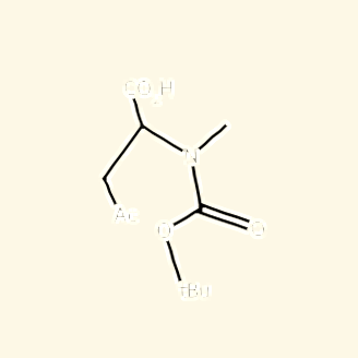 CC(=O)CC(C(=O)O)N(C)C(=O)OC(C)(C)C